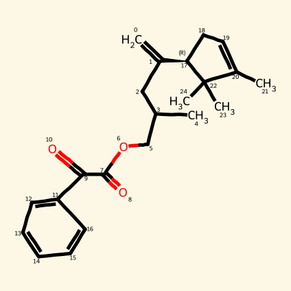 C=C(CC(C)COC(=O)C(=O)c1ccccc1)[C@H]1CC=C(C)C1(C)C